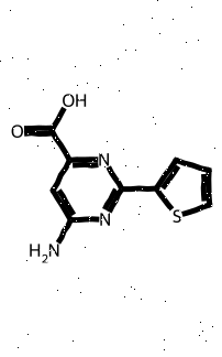 Nc1cc(C(=O)O)nc(-c2cccs2)n1